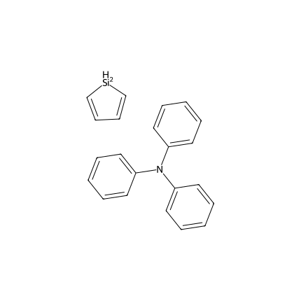 C1=C[SiH2]C=C1.c1ccc(N(c2ccccc2)c2ccccc2)cc1